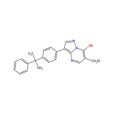 CCOC(=O)c1cnc2c(-c3ccc(C(C)(C)c4ccccc4)cc3)cnn2c1O